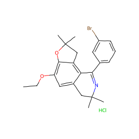 CCOc1cc2c(c3c1OC(C)(C)C3)C(c1cccc(Br)c1)=NC(C)(C)C2.Cl